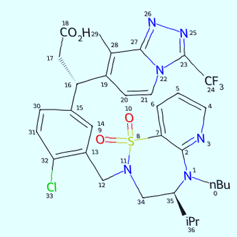 CCCCN1c2ncccc2S(=O)(=O)N(Cc2cc([C@H](CC(=O)O)c3ccn4c(C(F)(F)F)nnc4c3C)ccc2Cl)C[C@@H]1C(C)C